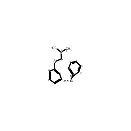 CN(C)COc1ccccc1.COc1ccccc1